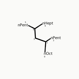 CCCCCCCCC(CCCCC)CC(CCCCC)CCCCCCC